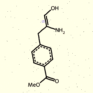 COC(=O)c1ccc(C/C(N)=C/O)cc1